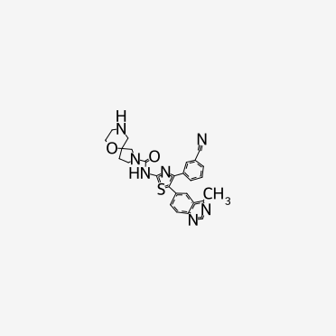 Cc1ncnc2ccc(-c3sc(NC(=O)N4CCC5(CNCCO5)C4)nc3-c3cccc(C#N)c3)cc12